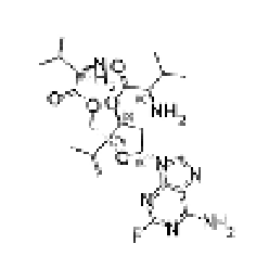 C=C(C)[C@]1(COC(=O)[C@H](N)C(C)C)O[C@@H](n2cnc3c(N)nc(F)nc32)C[C@@H]1OC(=O)[C@H](N)C(C)C